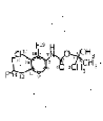 CC(C)(C)OC(=O)Nc1ccc(CC(F)F)c(Cl)c1F